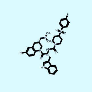 CN(C)C[C@@H]1Cc2cc(Cl)ccc2N(C(=O)[C@@H](Cc2c[nH]c3ccccc23)NC(=O)N2CCC(S(=O)(=O)c3ccc(F)cc3)CC2)C1